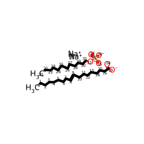 CCCCCCCCC=CCCCCCCCC(=O)[O-].CCCCCCCCCCCCOS(=O)(=O)[O-].[Na+].[Na+]